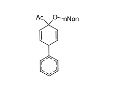 CCCCCCCCCOC1(C(C)=O)C=CC(c2ccccc2)C=C1